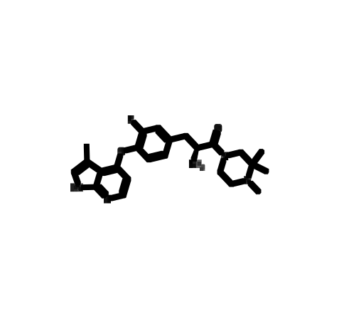 Cc1c[nH]c2nccc(Oc3ccc(C[C@H](N)C(=O)N4CCN(C)C(C)(C)C4)cc3F)c12